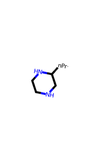 CC[CH]C1CNCCN1